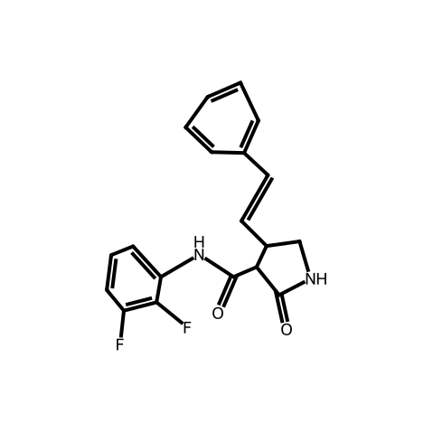 O=C1NCC(/C=C/c2ccccc2)C1C(=O)Nc1cccc(F)c1F